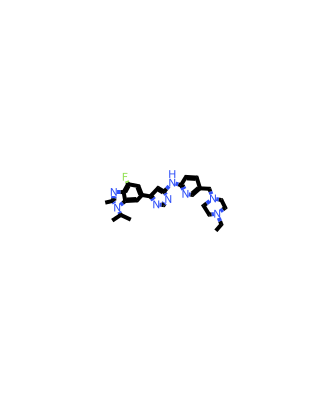 CCN1CCN(Cc2ccc(Nc3cc(-c4cc(F)c5nc(C)n(C(C)C)c5c4)ncn3)nc2)CC1